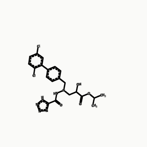 CC(C)OC(=O)C(O)CN(Cc1ccc(-c2cc(Cl)ccc2Cl)cc1)NC(=O)c1nnn[nH]1